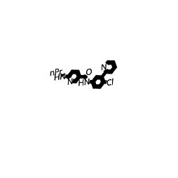 CCCNc1ccc(C(=O)Nc2ccc(Cl)c(-c3ccccn3)c2)cn1